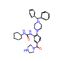 O=C(Nc1cc(C(=O)N2CCNCC2)ccc1N1CCN(C(c2ccccc2)c2ccccc2)CC1)NC1CCCCC1